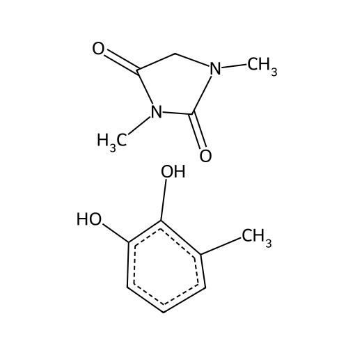 CN1CC(=O)N(C)C1=O.Cc1cccc(O)c1O